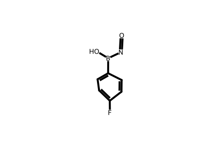 O=NB(O)c1ccc(F)cc1